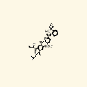 C=CC(=O)Nc1cc(Nc2ncnc(Nc3ccccc3C3(O)COC3)n2)c(OC)cc1N(C)CCN(C)C